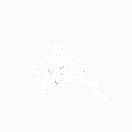 CCCCCC(CCCC)CS(OCC)(OCC)OCC